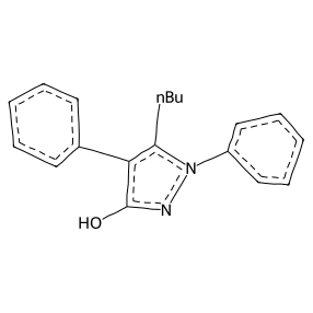 CCCCc1c(-c2ccccc2)c(O)nn1-c1ccccc1